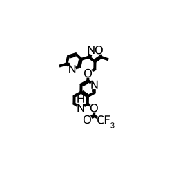 Cc1ccc(-c2noc(C)c2COc2cc3c(cn2)C(OC(=O)C(F)(F)F)NCC3)cn1